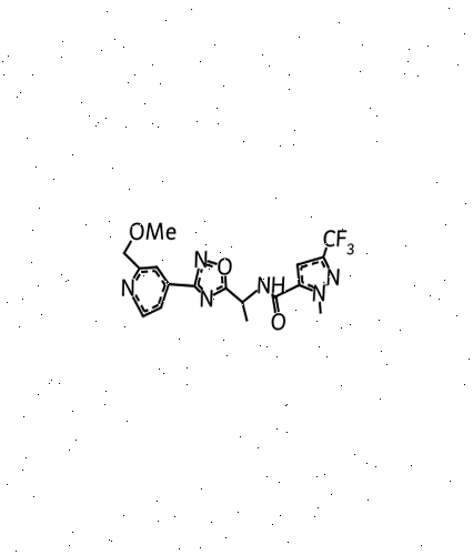 COCc1cc(-c2noc(C(C)NC(=O)c3cc(C(F)(F)F)nn3C)n2)ccn1